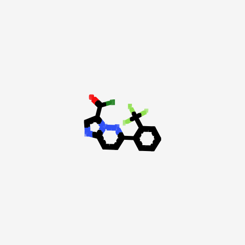 O=C(Cl)c1cnc2ccc(-c3ccccc3C(F)(F)F)nn12